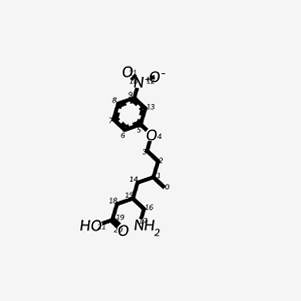 CC(CCOc1cccc([N+](=O)[O-])c1)CC(CN)CC(=O)O